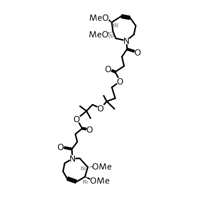 CO[C@H]1C#CCCN(C(=O)CCC(=O)OCCC(C)(C)OCC(C)(C)OC(=O)CCC(=O)N2CCC#C[C@H](OC)[C@@H](OC)C2)C[C@@H]1OC